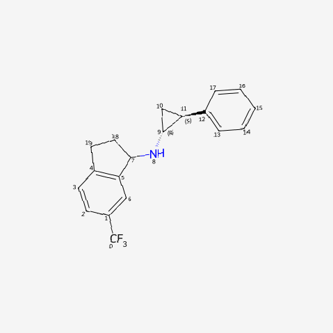 FC(F)(F)c1ccc2c(c1)C(N[C@@H]1C[C@H]1c1ccccc1)CC2